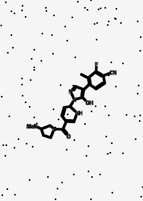 CNC1CCN(C(=O)C2=CNC(n3ncc(-c4ccc(C#N)c(F)c4C)c3O)C=C2)C1